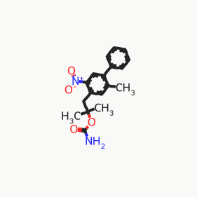 Cc1cc(CC(C)(C)OC(N)=O)c([N+](=O)[O-])cc1-c1ccccc1